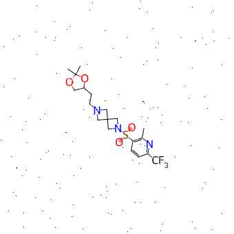 Cc1nc(C(F)(F)F)ccc1S(=O)(=O)N1CC2(CN(CCC3COC(C)(C)O3)C2)C1